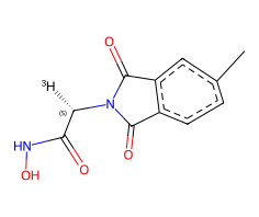 [3H][C@@H](C(=O)NO)N1C(=O)c2ccc(C)cc2C1=O